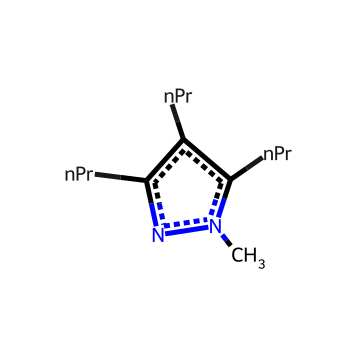 CCCc1nn(C)c(CCC)c1CCC